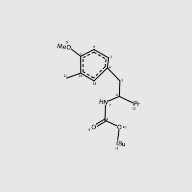 COc1ccc(CC(NC(=O)OC(C)(C)C)C(C)C)cc1C